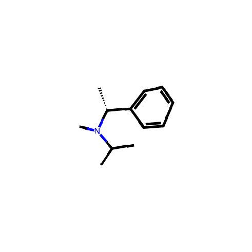 CC(C)N(C)[C@H](C)c1ccccc1